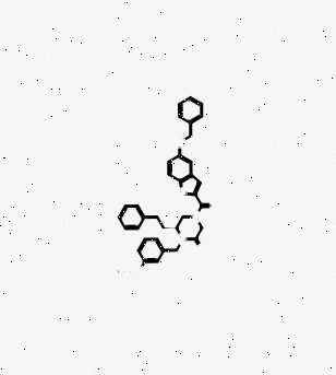 COc1cccc(CN2C(=O)CN(C(=O)c3cc4cc(OCc5ccccc5)ccc4[nH]3)C[C@@H]2CCc2ccccc2)c1